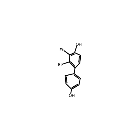 CCc1c(O)ccc(-c2ccc(O)cc2)c1CC